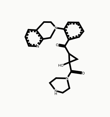 O=C(c1ccccc1N1CCc2cccnc2C1)C1CC1(O)C(=O)N1CCNCC1